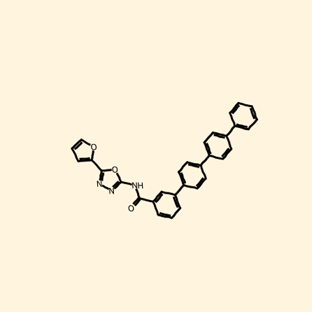 O=C(Nc1nnc(-c2ccco2)o1)c1cccc(-c2ccc(-c3ccc(-c4ccccc4)cc3)cc2)c1